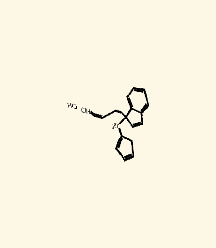 C=CC[C]1([Zr][C]2=CC=CC2)C=Cc2ccccc21.Cl.Cl